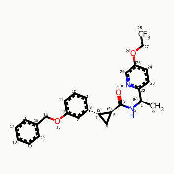 C[C@@H](NC(=O)[C@H]1C[C@@H]1c1cccc(OCc2ccccc2)c1)c1ccc(OCC(F)(F)F)cn1